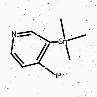 CC(C)c1ccnc[c]1[Sn]([CH3])([CH3])[CH3]